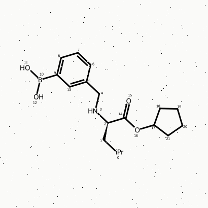 CC(C)C[C@@H](NCc1cccc(B(O)O)c1)C(=O)OC1CCCC1